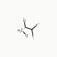 CCl.FC(F)CCl